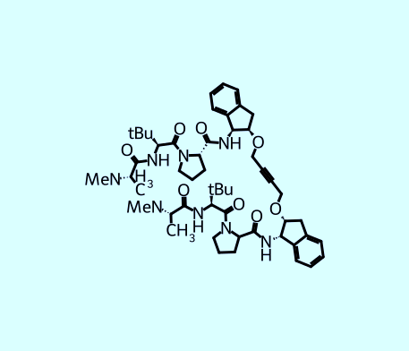 CN[C@@H](C)C(=O)N[C@H](C(=O)N1CCCC1C(=O)N[C@H]1c2ccccc2C[C@H]1OCC#CCO[C@@H]1Cc2ccccc2[C@@H]1NC(=O)[C@@H]1CCCN1C(=O)[C@@H](NC(=O)[C@H](C)NC)C(C)(C)C)C(C)(C)C